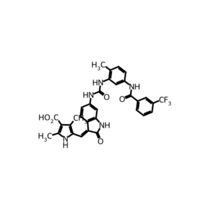 Cc1ccc(NC(=O)c2cccc(C(F)(F)F)c2)cc1NC(=O)Nc1ccc2c(c1)NC(=O)C2=Cc1[nH]c(C)c(C(=O)O)c1C